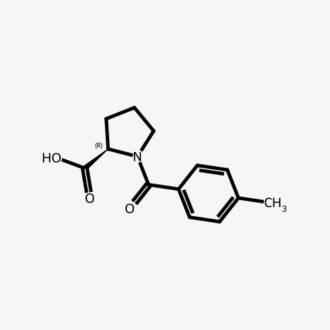 Cc1ccc(C(=O)N2CCC[C@@H]2C(=O)O)cc1